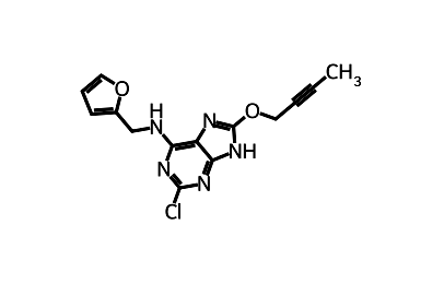 CC#CCOc1nc2c(NCc3ccco3)nc(Cl)nc2[nH]1